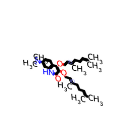 CC(C)=CCC/C(C)=C/COc1c(OC/C=C(\C)CCC=C(C)C)c2ccc(N(C)C)cc2[nH]c1=O